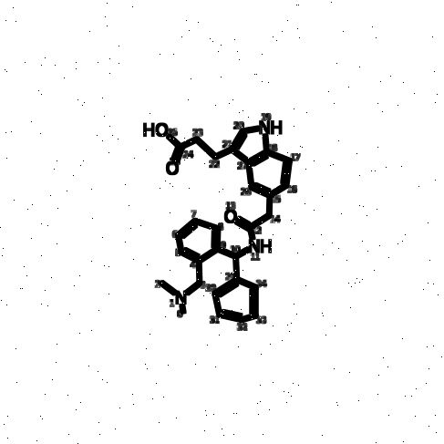 CN(C)Cc1ccccc1C(NC(=O)Cc1ccc2[nH]cc(CCC(=O)O)c2c1)c1ccccc1